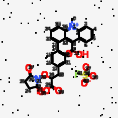 C[n+]1c2ccccc2c(C(=O)O)c2c(-c3ccc(CC(ON4C(=O)CCC4=O)C(=O)O)cc3)cccc21.O=S(=O)([O-])F